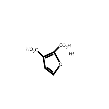 O=C(O)c1ccoc1C(=O)O.[Hf]